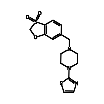 O=S1(=O)COc2cc(CN3CCN(c4nccs4)CC3)ccc21